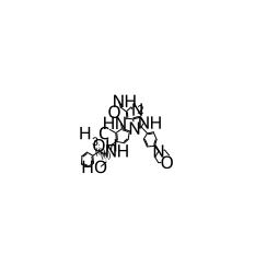 CCc1c(CN[C@H](CO)[C@@H](O)c2ccccc2)cccc1Nc1c(C(N)=O)cnc2[nH]c(-c3ccc(N4CCOCC4)cc3)nc12